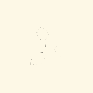 CCC(O)N(c1ccccc1)C1CCNCC1